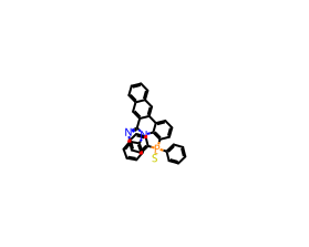 S=P(c1ccccc1)(c1ccccc1)c1cccc2c3cc4ccccc4cc3c3nc4ccccc4n3c12